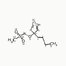 CCCCC(C=O)(CC)OCS(C)(=O)=O